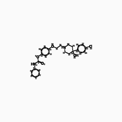 O=C(Nc1ccccc1)Oc1ccc(OCCN2CCC(O)(c3ccc(Cl)cc3)CC2)cc1